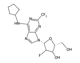 OC[C@H]1O[C@@H](n2cnc3c(NC4CCCC4)nc(C(F)(F)F)nc32)C(F)C1O